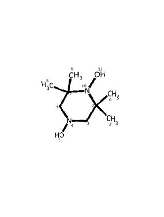 CC1(C)CN(O)CC(C)(C)N1O